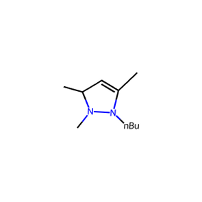 CCCCN1C(C)=CC(C)N1C